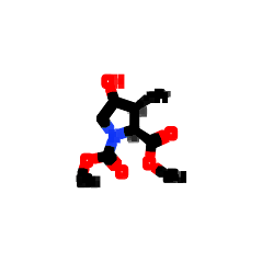 CCC[C@@H]1C(O)CN(C(=O)OC(C)(C)C)[C@@H]1C(=O)OC(C)(C)C